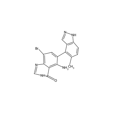 Cc1ccc2[nH]ncc2c1-c1cc(Br)c2nc[nH]c(=O)c2c1N